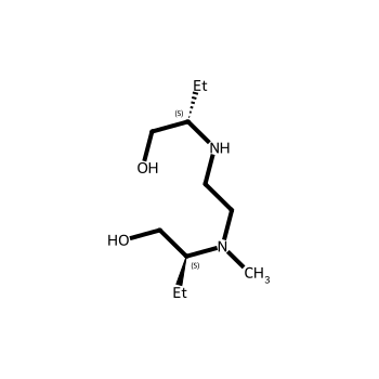 CC[C@@H](CO)NCCN(C)[C@@H](CC)CO